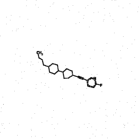 CCCCC1CCC(C2CCC(C#Cc3ccc(F)nc3)CC2)CC1